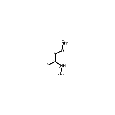 [CH2]CCOCC(C)NCC